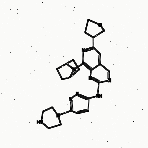 c1cc(N2CCNCC2)nnc1Nc1ncc2cc(C3CCOC3)nc(N3C4CCC3CC4)c2n1